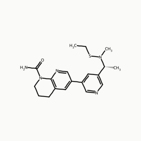 CCSN(C)[C@H](C)c1cncc(-c2cnc3c(c2)CCCN3C(N)=O)c1